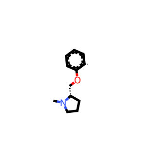 CN1CCC[C@H]1COc1[c]cccc1